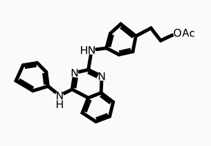 CC(=O)OCCc1ccc(Nc2nc(Nc3ccccc3)c3ccccc3n2)cc1